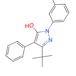 Cc1cccc(-n2nc(C(C)(C)C)c(-c3ccccc3)c2O)c1